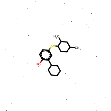 CC1CCC(Sc2ccc(O)c(C3CCCCC3)c2)C(C)C1